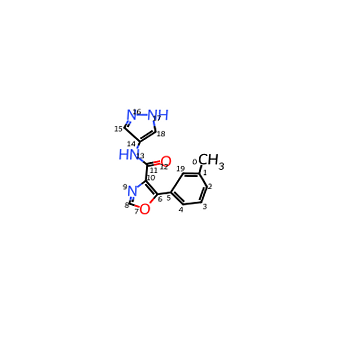 Cc1cccc(-c2ocnc2C(=O)Nc2cn[nH]c2)c1